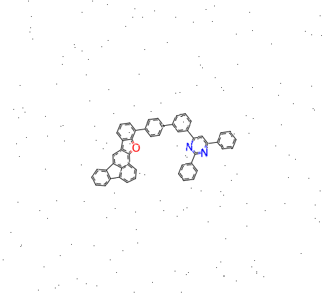 c1ccc(-c2cc(-c3cccc(-c4ccc(-c5cccc6c5oc5c7cccc8c7c(cc65)-c5ccccc5-8)cc4)c3)nc(-c3ccccc3)n2)cc1